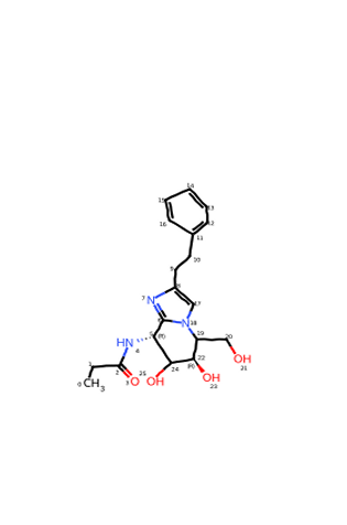 CCC(=O)N[C@@H]1c2nc(CCc3ccccc3)cn2C(CO)[C@@H](O)C1O